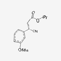 COc1cccc(C(C#N)=CC(=O)OC(C)C)c1